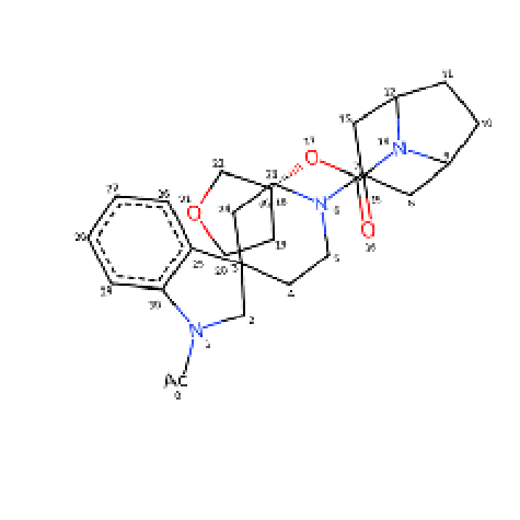 CC(=O)N1CC2(CCN(C3CC4CCC(C3)N4C(=O)O[C@@H]3CCOC3)CC2)c2ccccc21